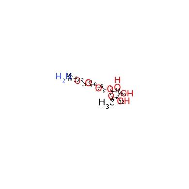 CC1OC(OCCOCCOCCOCCN)C(O)C(O)C1O